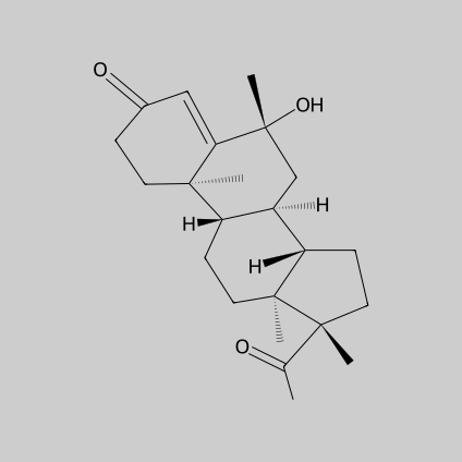 CC(=O)[C@@]1(C)CC[C@H]2[C@@H]3C[C@@](C)(O)C4=CC(=O)CC[C@]4(C)[C@H]3CC[C@@]21C